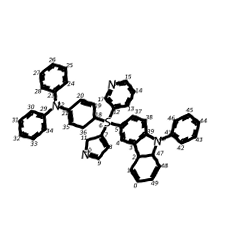 C1=CC2c3cc(S(C4=CC=NC4)(c4cccnc4)C4C=CC(N(c5ccccc5)c5ccccc5)=CC4)ccc3N(c3ccccc3)C2C=C1